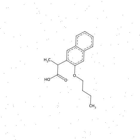 CCCCOc1cc2ccccc2cc1C(C)C(=O)O